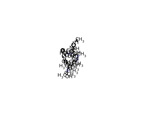 C=C1C2=NC3(CCN(CC(C)I)CC3)NC2=C(NC(=O)/C(C)=C\C=C\[C@H](C)[C@H](O)[C@@H](C)[C@@H](O)[C@@H](C)[C@H](OC(=O)CC(=O)N2CCN(c3ccccc3)CC2)[C@H](C)[C@H](/C=C/OC(C)(C)O)OC)C(=O)/C1=C(\O)C(C)(C)O